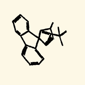 CC1[C]=C2C(C(C)(C)C)=C1C21c2ccccc2-c2ccccc21